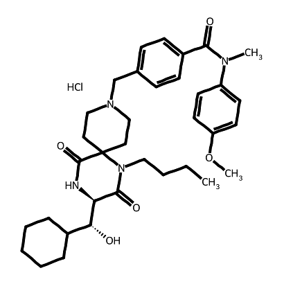 CCCCN1C(=O)[C@@H]([C@H](O)C2CCCCC2)NC(=O)C12CCN(Cc1ccc(C(=O)N(C)c3ccc(OC)cc3)cc1)CC2.Cl